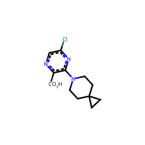 O=C(O)c1ncc(Cl)nc1N1CCC2(CC1)CC2